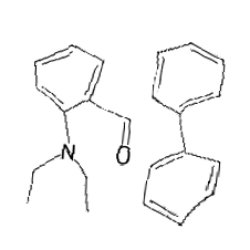 CCN(CC)c1ccccc1C=O.c1ccc(-c2ccccc2)cc1